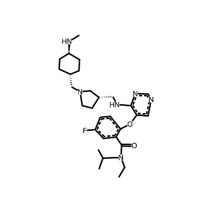 CCN(C(=O)c1cc(F)ccc1Oc1cncnc1NC[C@@H]1CCN(C[C@H]2CC[C@H](NC)CC2)C1)C(C)C